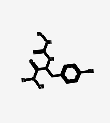 CCN(C#N)C(=O)C(Cc1ccc(O)cc1)NC(=S)NC(C)C